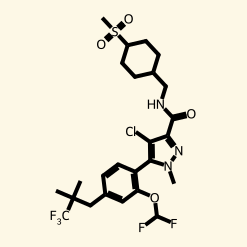 Cn1nc(C(=O)NCC2CCC(S(C)(=O)=O)CC2)c(Cl)c1-c1ccc(CC(C)(C)C(F)(F)F)cc1OC(F)F